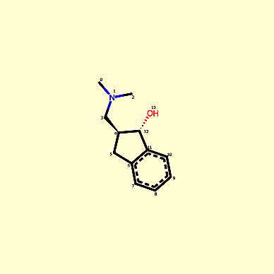 CN(C)C[C@@H]1Cc2ccccc2[C@H]1O